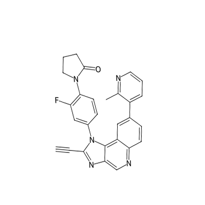 C#Cc1nc2cnc3ccc(-c4cccnc4C)cc3c2n1-c1ccc(N2CCCC2=O)c(F)c1